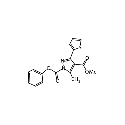 COC(=O)c1c(-c2cccs2)nn(C(=O)Oc2ccccc2)c1C